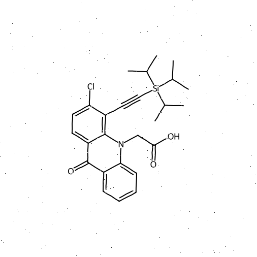 CC(C)[Si](C#Cc1c(Cl)ccc2c(=O)c3ccccc3n(CC(=O)O)c12)(C(C)C)C(C)C